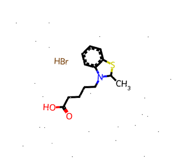 Br.CC1Sc2ccccc2N1CCCCC(=O)O